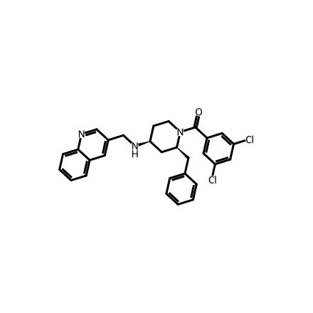 O=C(c1cc(Cl)cc(Cl)c1)N1CC[C@H](NCc2cnc3ccccc3c2)C[C@@H]1Cc1ccccc1